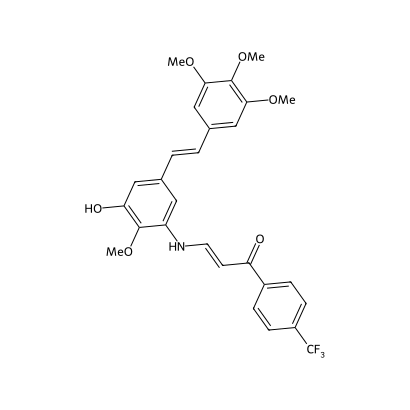 COc1cc(C=Cc2cc(O)c(OC)c(NC=CC(=O)c3ccc(C(F)(F)F)cc3)c2)cc(OC)c1OC